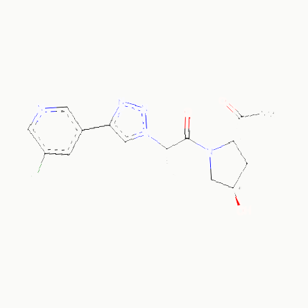 CNC(=O)[C@@H]1C[C@@H](O)CN1C(=O)[C@@H](n1cc(-c2cncc(Cl)c2)nn1)C(C)(C)C